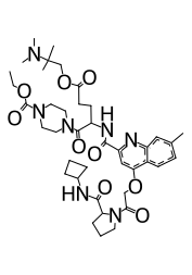 CCOC(=O)N1CCN(C(=O)C(CCC(=O)OCC(C)(C)N(C)C)NC(=O)c2cc(OCC(=O)N3CCCC3C(=O)NC3CCC3)c3ccc(C)cc3n2)CC1